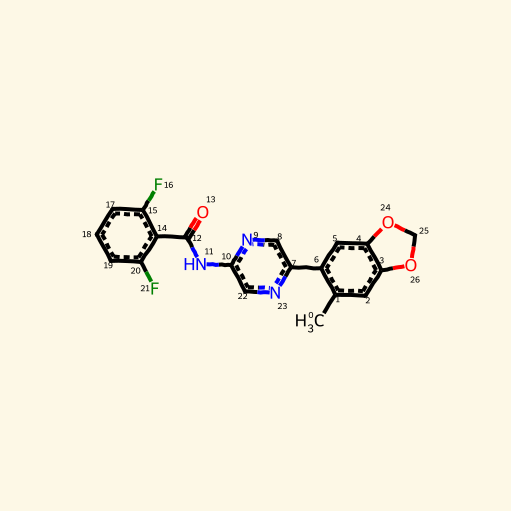 Cc1cc2c(cc1-c1cnc(NC(=O)c3c(F)cccc3F)cn1)OCO2